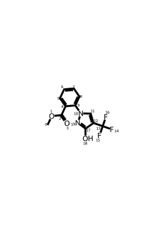 COC(=O)c1ccccc1-n1cc(C(F)(F)F)c(O)n1